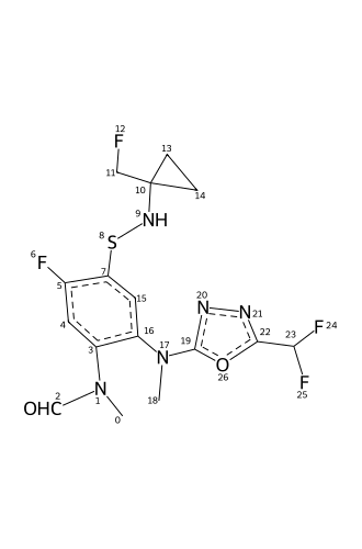 CN(C=O)c1cc(F)c(SNC2(CF)CC2)cc1N(C)c1nnc(C(F)F)o1